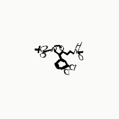 CC(=O)NCCCC1OCCN(C(=O)OC(C)(C)C)CC1c1ccc(Cl)c(Cl)c1